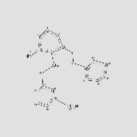 CC(C)c1cccc(CCc2ccccc2)c1OCc1cccc(C(=O)O)c1